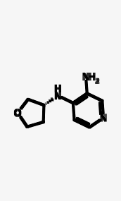 Nc1cnccc1N[C@@H]1CCOC1